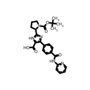 CC(C)(C)OC(=O)N1CCCC1c1nc(-c2ccc(C(=O)Nc3ccccn3)cc2)c(C(=O)O)[nH]1